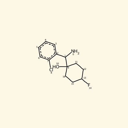 NC(c1ccccc1Cl)C1(O)CCC(F)CC1